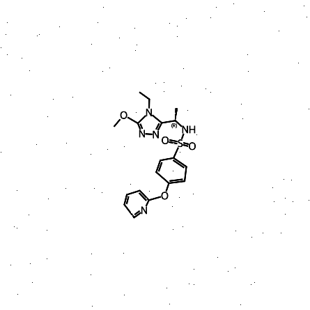 CCn1c(OC)nnc1[C@@H](C)NS(=O)(=O)c1ccc(Oc2ccccn2)cc1